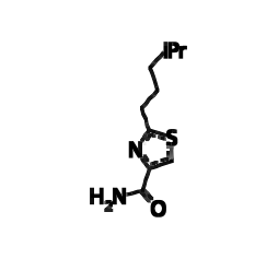 CC(C)CCCc1nc(C(N)=O)cs1